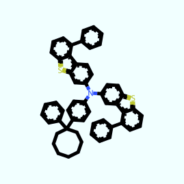 c1ccc(-c2cccc3sc4cc(N(c5ccc(C6(c7ccccc7)CCCCCCC6)cc5)c5ccc6sc7cccc(-c8ccccc8)c7c6c5)ccc4c23)cc1